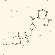 COc1cc(C)c(S(=O)(=O)C[C@H]2C[C@@H](N(C)c3ncnc4[nH]ccc34)C2)cn1